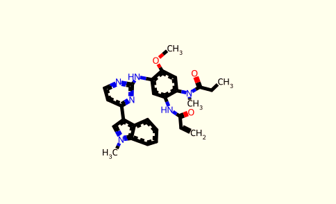 C=CC(=O)Nc1cc(Nc2nccc(-c3cn(C)c4ccccc34)n2)c(OC)cc1N(C)C(=O)CC